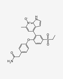 CCS(=O)(=O)c1ccc(Oc2ccc(CC(N)=O)cc2)c(-c2cc(C)[n+]([O-])c3[nH]ccc23)c1